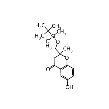 CC1(CO[Si](C)(C)C(C)(C)C)CC(=O)c2cc(O)ccc2O1